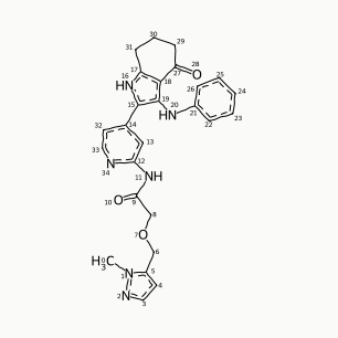 Cn1nccc1COCC(=O)Nc1cc(-c2[nH]c3c(c2Nc2ccccc2)C(=O)CCC3)ccn1